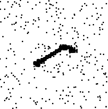 C[C@H](NC(=O)CNC(=O)CCOCCOCCOCCOCCOCCOCCOCCOCCNC(=O)CCN1C(=O)CC(C)(C)C1=O)C(=O)NCCCNC(=O)CO